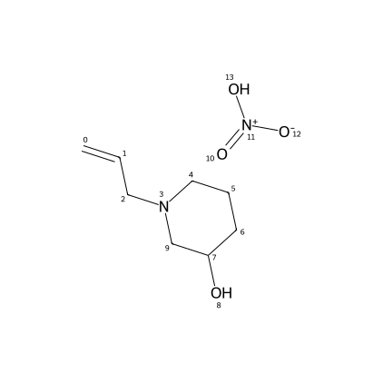 C=CCN1CCCC(O)C1.O=[N+]([O-])O